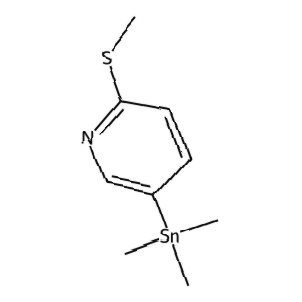 CSc1cc[c]([Sn]([CH3])([CH3])[CH3])cn1